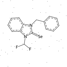 FC(F)n1c(=[Se])n(Cc2ccccc2)c2ccccc21